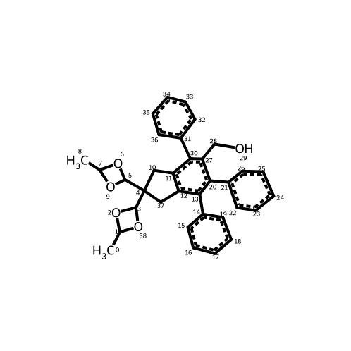 CC1OC(C2(C3OC(C)O3)Cc3c(c(-c4ccccc4)c(-c4ccccc4)c(CO)c3-c3ccccc3)C2)O1